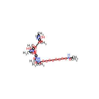 COc1cc2c(cc1OCCCCCOc1cc3c(cc1OC)C(O)N1C=C(C)C[C@H]1[C@H](O)N3C(=O)OCc1ccc(NC(=O)[C@H](C)NC(=O)[C@@H](NC(=O)CCOCCOCCOCCOCCOCCOCCOCCOCCNC(=O)CC(C)C)C(C)C)cc1)N=C[C@@H]1CC(C)=CN1C2O